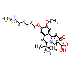 COc1cc2c(cc1OCCCCCNSC)CC(C(C)(C)C)n1cc(C(=O)O)c(=O)cc1-2